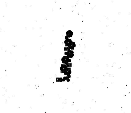 Cc1c(Nc2nccc3cc(CN4CCCC4)cnc23)cccc1-c1cccc(Nc2ncnc3cc(CN(C)CCO)cnc23)c1C